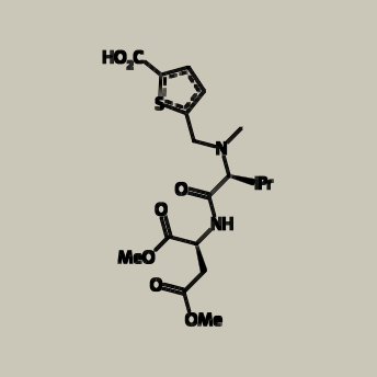 COC(=O)C[C@H](NC(=O)[C@H](C(C)C)N(C)Cc1ccc(C(=O)O)s1)C(=O)OC